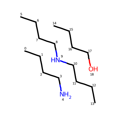 CCCCN.CCCCNCCCC.CCCCO